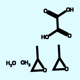 CC1CO1.CC1CO1.O.O.O=C(O)C(=O)O